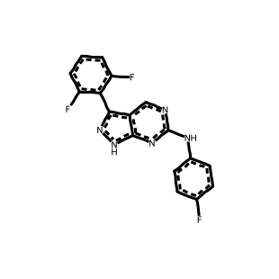 Fc1ccc(Nc2ncc3c(-c4c(F)cccc4F)n[nH]c3n2)cc1